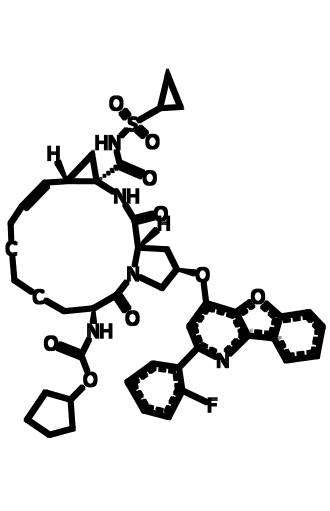 O=C(N[C@H]1CCCCC/C=C\[C@@H]2C[C@@]2(C(=O)NS(=O)(=O)C2CC2)NC(=O)[C@@H]2C[C@@H](Oc3cc(-c4ccccc4F)nc4c3oc3ccccc34)CN2C1=O)OC1CCCC1